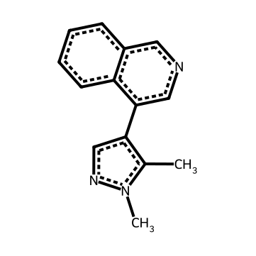 Cc1c(-c2cncc3ccccc23)cnn1C